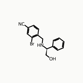 N#Cc1ccc(CN[C@H](CO)c2ccccc2)c(Br)c1